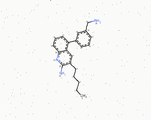 CCCCCc1cc2c(-c3cccc(CN)c3)cccc2nc1N